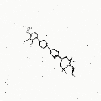 C/C=C/N1C(C)(C)CC(c2ccc(C3=CCC(c4ccc(OCCCC)c(F)c4F)CC3)cc2)CC1(C)C